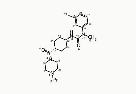 CC(C)N1CCN(C(=O)[C@H]2CC[C@H](NC(=O)N(C)c3cccc(F)c3)CC2)CC1